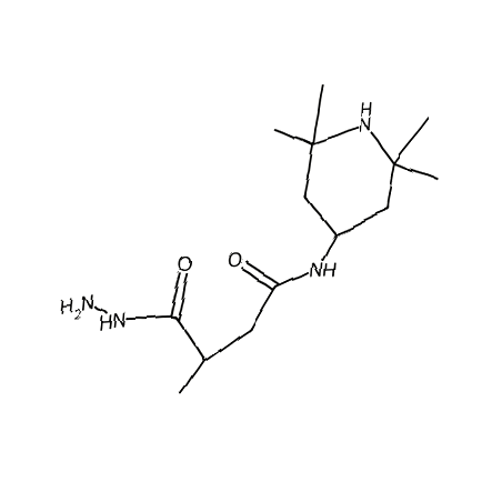 CC(CC(=O)NC1CC(C)(C)NC(C)(C)C1)C(=O)NN